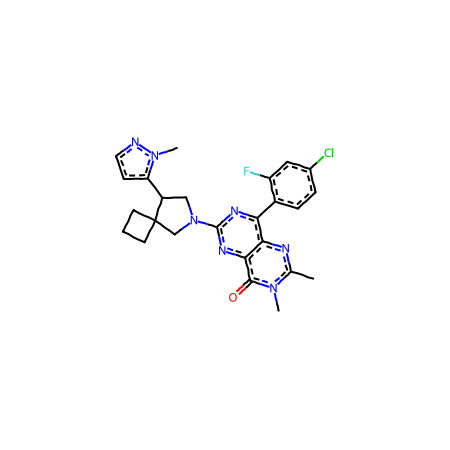 Cc1nc2c(-c3ccc(Cl)cc3F)nc(N3CC(c4ccnn4C)C4(CCC4)C3)nc2c(=O)n1C